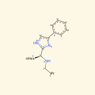 CCCCCC[C@H](NCC(C)C)c1nc(-c2ccccc2)c[nH]1